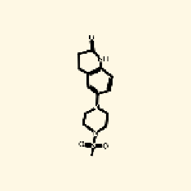 CS(=O)(=O)N1CCN(c2ccc3c(c2)CCC(=O)N3)CC1